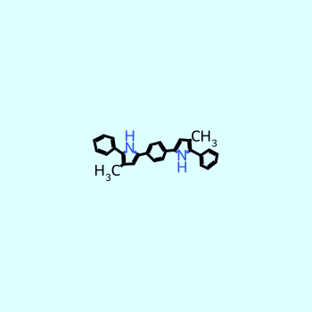 Cc1cc(-c2ccc(-c3cc(C)c(-c4ccccc4)[nH]3)cc2)[nH]c1-c1ccccc1